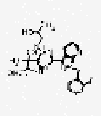 CC(O)CNc1nc(-c2nn(Cc3ccccc3F)c3ncccc23)nc2c1C(C)(C)C(C=O)N2